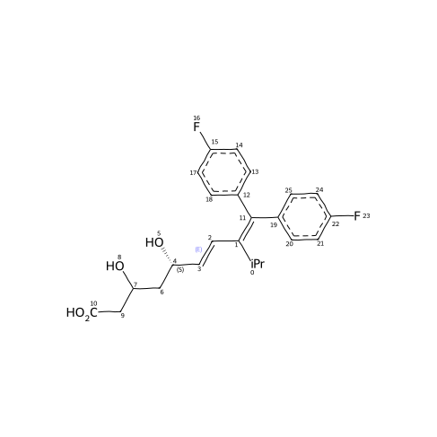 CC(C)C(/C=C/[C@@H](O)CC(O)CC(=O)O)=C(c1ccc(F)cc1)c1ccc(F)cc1